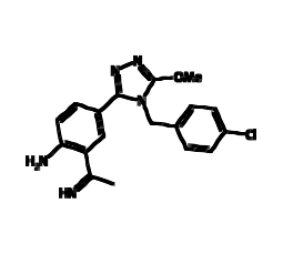 COc1nnc(-c2ccc(N)c(C(C)=N)c2)n1Cc1ccc(Cl)cc1